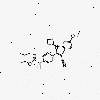 CCOc1ccc2c(C#N)c(-c3ccc(NC(=O)OC(C)C(C)C)cc3)n(C3CCC3)c2c1